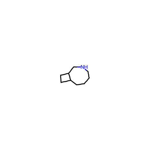 C1CCC2CCC2CNC1